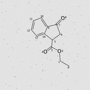 CCOC(=O)C1CC(=O)c2ccccc21